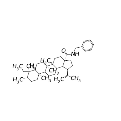 C=C(C)[C@@H]1CC[C@]2(C(=O)NCc3ccccc3)CC[C@]3(C)C(CCC4[C@@]5(C)CC[C@H](C)[C@@](C)(CC)[C@@H]5CC[C@]43C)C12